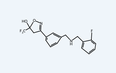 OC1(C(F)(F)F)CC(c2cccc(CNCc3ccccc3F)c2)=NO1